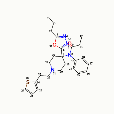 CCCc1nnc(C2(N(C(=O)CC)c3ccccc3)CCN(CCc3cccs3)CC2)o1